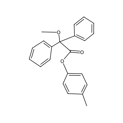 COC(C(=O)Oc1ccc(C)cc1)(c1ccccc1)c1ccccc1